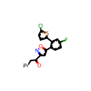 [CH2]C(C)CC(=O)c1cc(-c2ccc(F)cc2-c2ccc(Cl)s2)on1